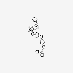 Cc1nn(C)c(Oc2ccc(Oc3ccc(OCC=C(Cl)Cl)cc3)cc2)c1/C=N\OCc1ccccc1